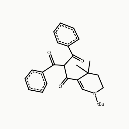 CC1(C)CCN(C(C)(C)C)C=C1C(=O)C(C(=O)c1ccccc1)C(=O)c1ccccc1